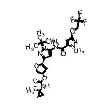 Cn1nc(OCC(F)(F)F)cc1C(=O)Nc1cc([C@H]2C[C@@H](OC(=O)NC3(C)CC3)CO2)nn1C(C)(C)C